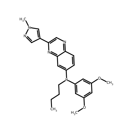 CCCCN(c1cc(OC)cc(OC)c1)c1ccc2ncc(-c3cnn(C)c3)nc2c1